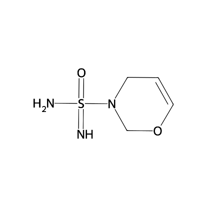 N=S(N)(=O)N1CC=COC1